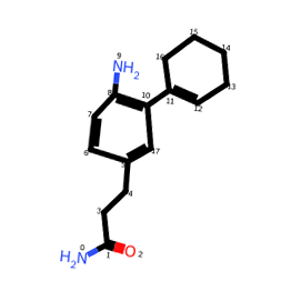 NC(=O)CCc1ccc(N)c(C2=CCCCC2)c1